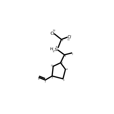 C=CC1CCC(C(C)[SiH2]C(Cl)Cl)C1